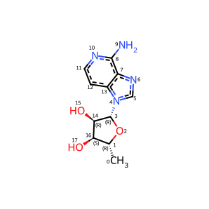 C[C@H]1O[C@@H](n2cnc3c(N)nccc32)[C@H](O)[C@@H]1O